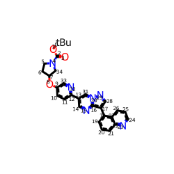 CC(C)(C)OC(=O)N1CCC(Oc2ccc(-c3cnc4c(-c5cccc6ncccc56)cnn4c3)nc2)C1